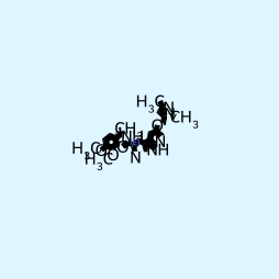 COc1ccc([C@@H](C)NC(=O)/C(C#N)=C/c2c[nH]c3ncc(OCc4cc(C)nn4C)cc23)cc1OC